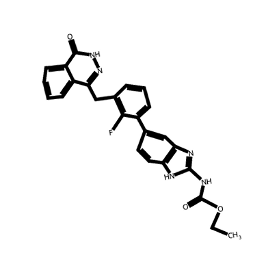 CCOC(=O)Nc1nc2cc(-c3cccc(Cc4n[nH]c(=O)c5ccccc45)c3F)ccc2[nH]1